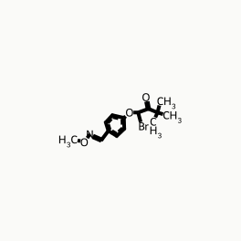 CON=Cc1ccc(OC(Br)C(=O)C(C)(C)C)cc1